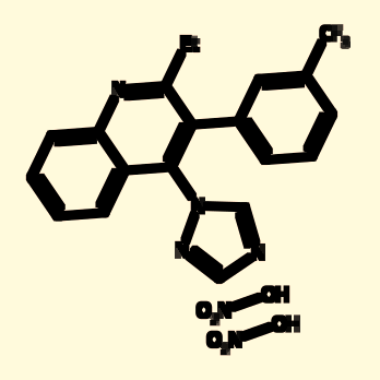 CCc1nc2ccccc2c(-n2cncn2)c1-c1cccc(C(F)(F)F)c1.O=[N+]([O-])O.O=[N+]([O-])O